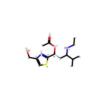 CCNC(C[C@@H](OC(C)=O)c1nc(CO)cs1)C(C)C